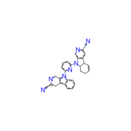 N#Cc1cc2c(cn1)N(c1cccc(-n3c4c(c5ccccc53)C[C@@H](C#N)N=C4)n1)C1CCC=CC21